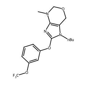 CCCCn1c(Oc2cccc(OC(F)(F)F)c2)nc2c1COCN2C